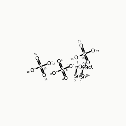 CCCCCCC[CH2][Sn+3].CCCCCCC[CH2][Sn+3].O=S(=O)([O-])[O-].O=S(=O)([O-])[O-].O=S(=O)([O-])[O-]